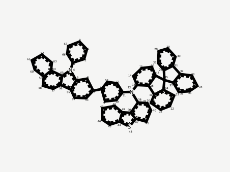 c1ccc(-n2c3cc(-c4ccc(N(c5cccc6c5-c5ccccc5C65c6ccccc6-c6ccccc65)c5cccc6sc7ccccc7c56)cc4)ccc3c3ccc4ccccc4c32)cc1